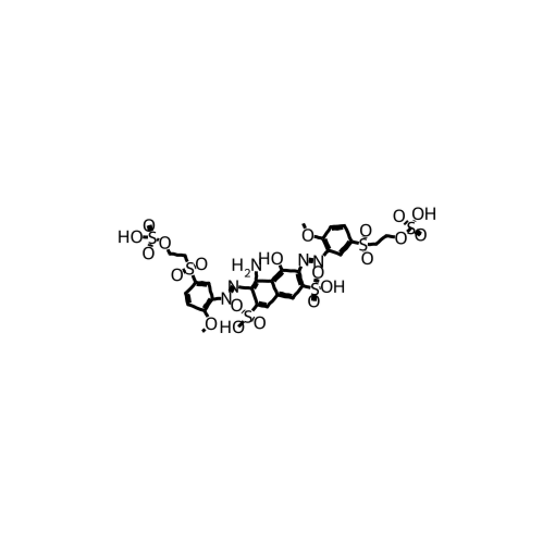 COc1ccc(S(=O)(=O)CCOS(=O)(=O)O)cc1/N=N/c1c(S(=O)(=O)O)cc2cc(S(=O)(=O)O)c(/N=N/c3cc(S(=O)(=O)CCOS(=O)(=O)O)ccc3OC)c(O)c2c1N